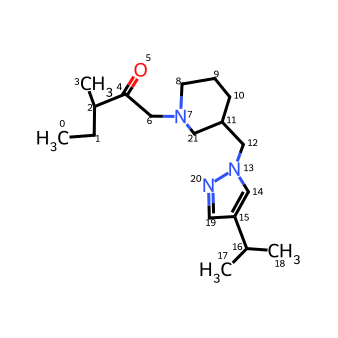 CCC(C)C(=O)CN1CCCC(Cn2cc(C(C)C)cn2)C1